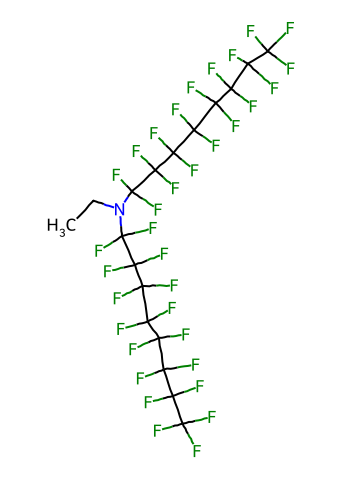 CCN(C(F)(F)C(F)(F)C(F)(F)C(F)(F)C(F)(F)C(F)(F)C(F)(F)C(F)(F)F)C(F)(F)C(F)(F)C(F)(F)C(F)(F)C(F)(F)C(F)(F)C(F)(F)C(F)(F)F